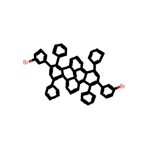 Brc1cccc(-c2cc(-c3ccccc3)c3c4cccc5c6c(-c7ccccc7)c(-c7cccc(Br)c7)cc(-c7ccccc7)c6c6cccc(c3c2-c2ccccc2)c6c45)c1